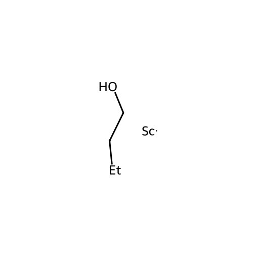 CCCCO.[Sc]